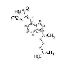 CC(C)=CCCC(C)n1ccc2c(C=C3SC(=O)NC3=O)cccc21